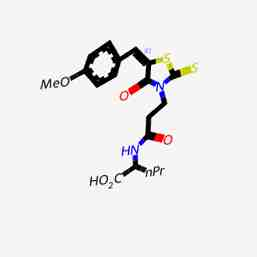 CCCC(NC(=O)CCN1C(=O)/C(=C\c2ccc(OC)cc2)SC1=S)C(=O)O